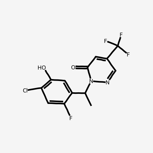 CC(c1cc(O)c(Cl)cc1F)n1ncc(C(F)(F)F)cc1=O